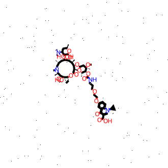 CC[C@H]1OC(=O)[C@H](C)[C@@H](O[C@H]2C[C@@](C)(OC)[C@@H](OC(=O)NCCCOCCOc3ccc4c(c3)c(=O)c(C(=O)O)cn4C3CC3)[C@H](C)O2)[C@H](C)[C@@H](O[C@@H]2O[C@H](C)C[C@H](N(C)C)[C@H]2O)[C@](C)(O)C[C@@H](C)CN(C)[C@H](C)[C@@H](OC)[C@]1(C)O